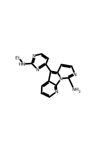 CCNc1nccc(-c2c3cccnc3n3c(N)nccc23)n1